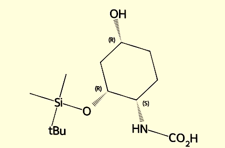 CC(C)(C)[Si](C)(C)O[C@@H]1C[C@H](O)CC[C@@H]1NC(=O)O